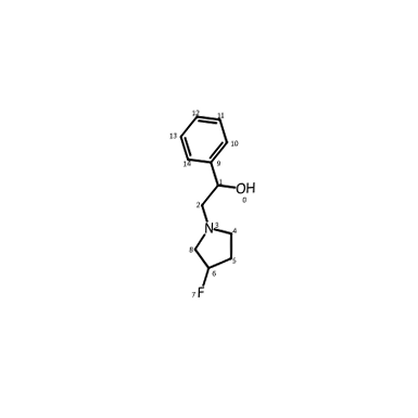 OC(CN1CCC(F)C1)c1ccccc1